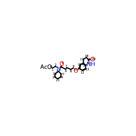 CC(=O)OCCN(C(=O)CCCCOc1ccc2c(c1)CCC(=O)N2)C1CCCCC1